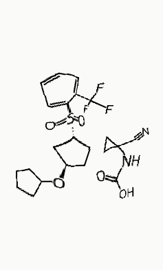 N#CC1(NC(=O)O)CC1.O=S(=O)(c1ccccc1C(F)(F)F)[C@@H]1CC[C@@H](OC2CCCC2)C1